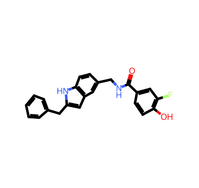 O=C(NCc1ccc2[nH]c(Cc3ccccc3)cc2c1)c1ccc(O)c(F)c1